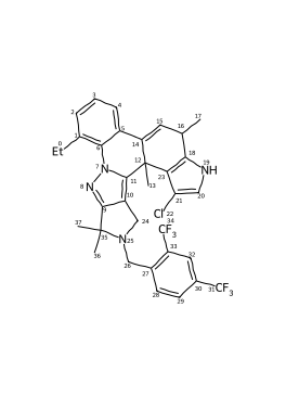 CCc1cccc2c1-n1nc3c(c1C1(C)C2=CC(C)c2[nH]cc(Cl)c21)CN(Cc1ccc(C(F)(F)F)cc1C(F)(F)F)C3(C)C